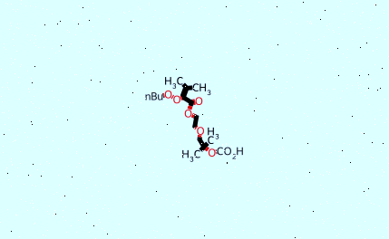 CCCCOOC(C(=O)OCCOCC(C)(C)OC(=O)O)=C(C)C